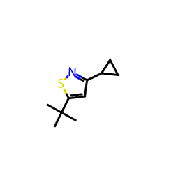 CC(C)(C)c1cc(C2CC2)ns1